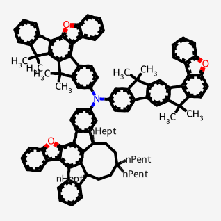 CCCCCCCC12CCC(CCCCC)(CCCCC)CCC3(CCCCCCC)c4ccccc4-c4c3c1c(c1oc3ccccc3c41)-c1ccc(N(c3ccc4c(c3)C(C)(C)c3cc5c(cc3-4)C(C)(C)c3ccc4oc6ccccc6c4c3-5)c3ccc4c(c3)C(C)(C)c3c5c(c6oc7ccccc7c6c3-4)-c3ccccc3C5(C)C)cc12